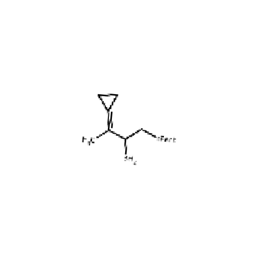 BC(CCCCCC)C(C)=C1CC1